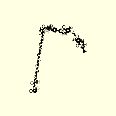 COc1cc2c(cc1OCCCOc1cc3c(cc1OC)C(=O)N1C=C(C4CC4)C[C@H]1C=N3)N=C[C@@H]1CC(c3ccc(NC(=O)[C@H](C)NC(=O)C(NC(=O)CCOCCOCCOCCOCCOCCOCCOCCOCCNC(=O)CCN4C(=O)C=CC4=O)C(C)C)cc3)=CN1C2=O